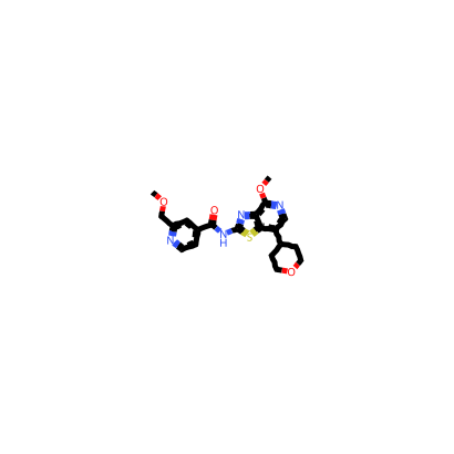 COCc1cc(C(=O)Nc2nc3c(OC)ncc(C4CCOCC4)c3s2)ccn1